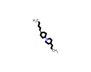 CCCCC[C@H]1CC[C@H](N2CCC(CCC)CC2)CC1